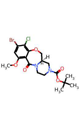 COc1cc(Br)c(Cl)c2c1C(=O)N1CCN(C(=O)OC(C)(C)C)C[C@@H]1CO2